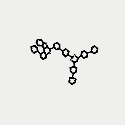 c1ccc(-c2ccc(-c3cc(-c4ccc(-c5ccccc5)cc4)nc(-c4ccc(-c5cccc(-c6nc7cccc(-c8ccccc8)c7c7c6sc6ccccc67)c5)cc4)n3)cc2)cc1